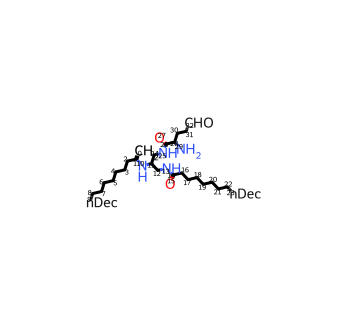 C=C(CCCCCCCCCCCCCCCCC)NC(CNC(=O)CCCCCCCCCCCCCCCCC)CNC(=O)C(N)CCC=O